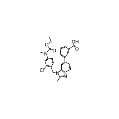 CCOC(=O)N(C)c1ccc(Cn2c(C)nc3ccc(-c4cccc(C(=O)O)c4)cc32)c(Cl)c1